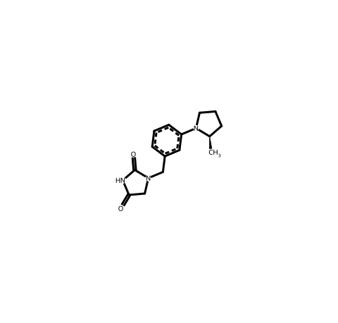 C[C@@H]1CCCN1c1cccc(CN2CC(=O)NC2=O)c1